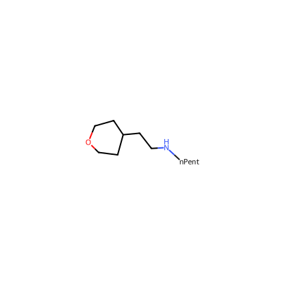 CCCCCNCCC1CCOCC1